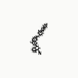 CC1CN(c2ccc(C#N)c3ncccc23)CC2CN(CCc3ccc(N4CC5(CN(C)C5)C4)nc3)CCN12